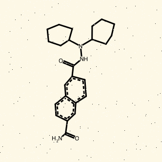 NC(=O)c1ccc2cc(C(=O)NN(C3CCCCC3)C3CCCCC3)ccc2c1